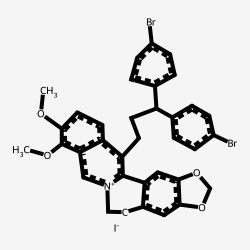 COc1ccc2c(CCC(c3ccc(Br)cc3)c3ccc(Br)cc3)c3[n+](cc2c1OC)CCc1cc2c(cc1-3)OCO2.[I-]